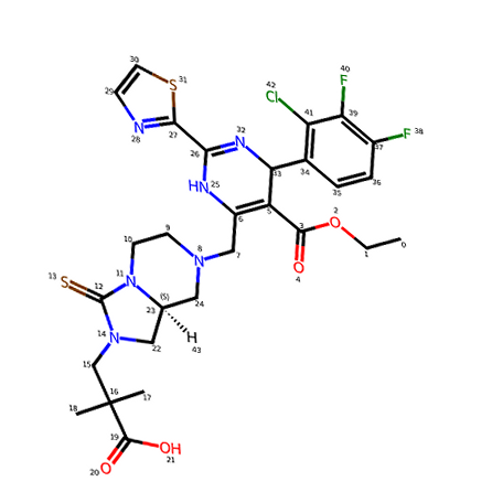 CCOC(=O)C1=C(CN2CCN3C(=S)N(CC(C)(C)C(=O)O)C[C@@H]3C2)NC(c2nccs2)=NC1c1ccc(F)c(F)c1Cl